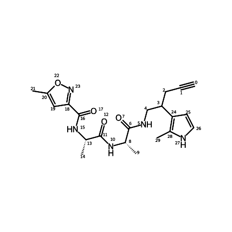 C#CCC(CNC(=O)[C@H](C)NC(=O)[C@H](C)NC(=O)c1cc(C)on1)c1cc[nH]c1C